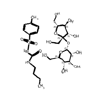 CCCCNC(=O)NS(=O)(=O)c1ccc(C)cc1.OC[C@H]1O[C@@](CO)(O[C@H]2O[C@H](CO)[C@@H](O)[C@H](O)[C@H]2O)[C@@H](O)[C@@H]1O